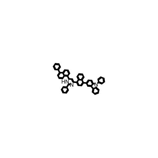 C1=C(c2ccc(-c3ccc4c(c3)c3ccccc3n4-c3ccccc3)c3ccccc23)N=C(c2ccccc2)NC1c1cccc2c(-c3ccccc3)cccc12